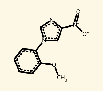 COc1ccccc1-n1cnc([N+](=O)[O-])c1